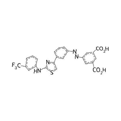 O=C(O)c1cc(/N=N/c2cccc(-c3csc(Nc4cccc(C(F)(F)F)c4)n3)c2)cc(C(=O)O)c1